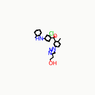 Cc1ccccc1Nc1ccc(C(=O)c2cc(-n3cc(CCO)nn3)ccc2C)c(Cl)c1